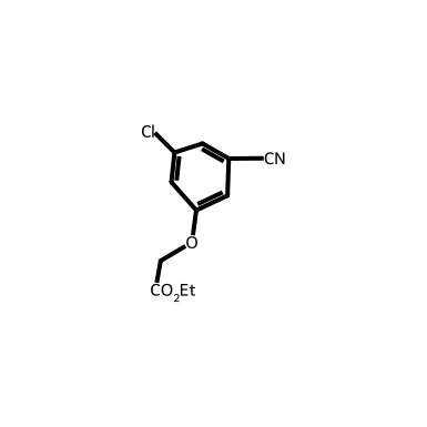 CCOC(=O)COc1cc(Cl)cc(C#N)c1